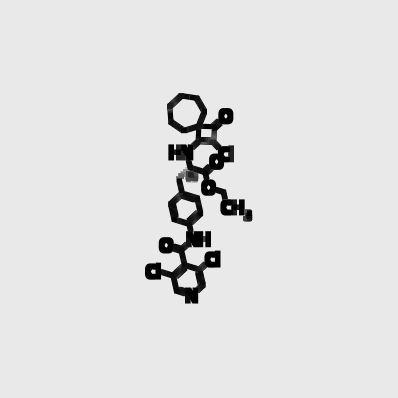 CCOC(=O)[C@H](Cc1ccc(NC(=O)c2c(Cl)cncc2Cl)cc1)NC1=C(Cl)C(=O)C12CCCCCC2